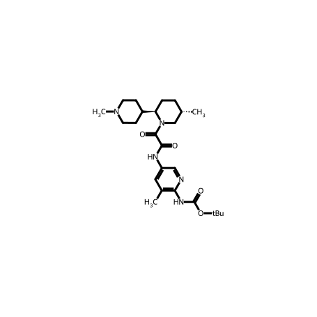 Cc1cc(NC(=O)C(=O)N2C[C@@H](C)CC[C@@H]2C2CCN(C)CC2)cnc1NC(=O)OC(C)(C)C